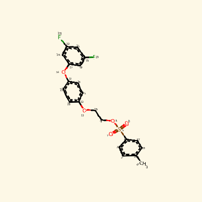 Cc1ccc(S(=O)(=O)OCCOc2ccc(Oc3cc(F)cc(F)c3)cc2)cc1